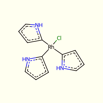 [Cl][Rh]([c]1ccc[nH]1)([c]1ccc[nH]1)[c]1ccc[nH]1